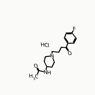 CC(=O)NC1CCN(CCCC(=O)c2ccc(F)cc2)CC1.Cl